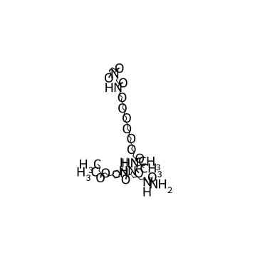 CCC(C)C(=O)OCc1ccc(NC(=O)[C@H](CCCCNC(N)=O)NC(=O)[C@@H](NC(=O)CCOCCOCCOCCOCCOCCOCCNC(=O)CCN2C(=O)C=CC2=O)C(C)C)cc1